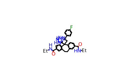 CCNC(=O)c1ccc2c(c1)CCc1cc(C(=O)NCC)ccc1C2(C[C@H](N)c1ccc(F)cc1)c1nnn[nH]1